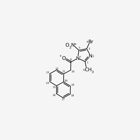 Cc1nc(Br)c([N+](=O)[O-])n1C(=O)Cc1cccc2ccccc12